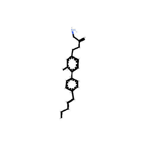 C=C(CN)CCc1ccc(-c2ccc(CCCCC)cc2)c(C)c1